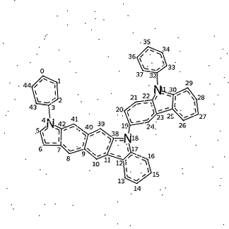 c1ccc(-n2ccc3cc4cc5c6ccccc6n(-c6ccc7c(c6)c6ccccc6n7-c6ccccc6)c5cc4cc32)cc1